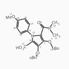 CCCCOc1c(OCCCC)c(C(=O)N(C)C)n(-c2ccc(OC)cc2)c1C(=O)O